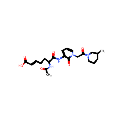 CC(=O)NC(CC/C=C/C(=O)O)C(=O)Nc1cccn(CC(=O)N2CCCC(C)C2)c1=O